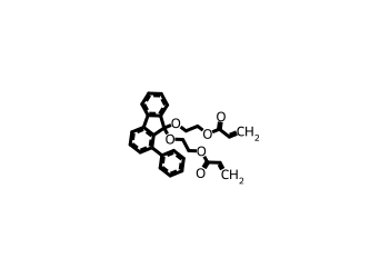 C=CC(=O)OCCOC1(OCCOC(=O)C=C)c2ccccc2-c2cccc(-c3ccccc3)c21